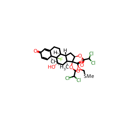 CSCOC(=O)[C@@]1(OC(=O)C(Cl)Cl)[C@H](OC(=O)C(Cl)Cl)C[C@H]2[C@@H]3CCC4=CC(=O)C=C[C@]4(C)[C@@]3(F)[C@@H](O)C[C@@]21C